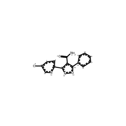 NC(=O)c1c(-c2ccc(Cl)cn2)noc1-c1ccccc1